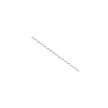 SCCCCCCCCCCCCCCCCCCCCCCCCCCCCCCCCI